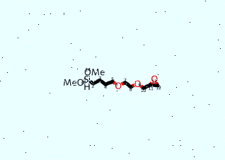 CO[SiH](CCCCOCCOCC1CO1)OC